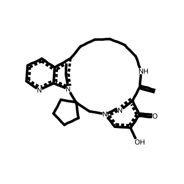 C=C1NCCCCCc2cn(c3ncccc23)C2(CCCC2)Cn2cc(O)c(=O)c1n2